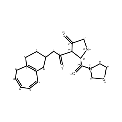 O=C(CC1CCC2=C(C=CC=CC2)C1)C1C(=S)CN[C@@H]1C(=O)N1CCSC1